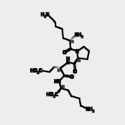 NCCCC[C@H](NC(=O)[C@H](CCC(=O)O)NC(=O)[C@@H]1CCCN1C(=O)[C@@H](N)CCCCN)C(=O)O